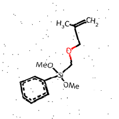 C=C(C)COC[Si](OC)(OC)c1ccccc1